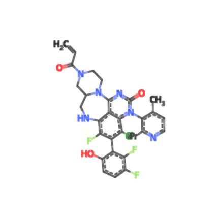 C=CC(=O)N1CCN2c3nc(=O)n(-c4c(C)ccnc4C(C)C)c4c(Cl)c(-c5c(O)ccc(F)c5F)c(F)c(c34)NCC2C1